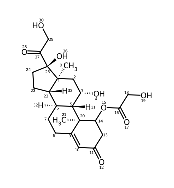 C[C@]12C[C@H](O)[C@H]3[C@@H](CCC4=CC(=O)CC(OC(=O)CO)[C@@]43C)[C@@H]1CC[C@]2(O)C(=O)CO